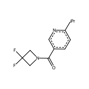 CC(C)c1ccc(C(=O)N2CC(F)(F)C2)cn1